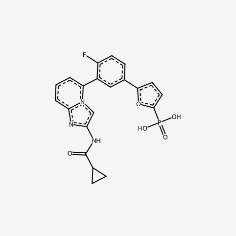 O=C(Nc1cn2c(-c3cc(-c4ccc(P(=O)(O)O)o4)ccc3F)cccc2n1)C1CC1